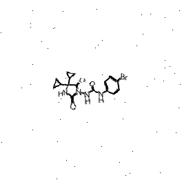 O=C(Nc1ccc(Br)cc1)NN1C(=O)NC(C2CC2)(C2CC2)C1=O